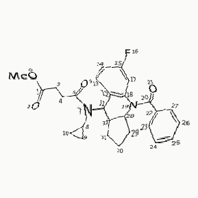 COC(=O)CCC(=O)N(C1CC1)C1c2ccc(F)cc2N(C(=O)c2ccccc2)C2CCCC21